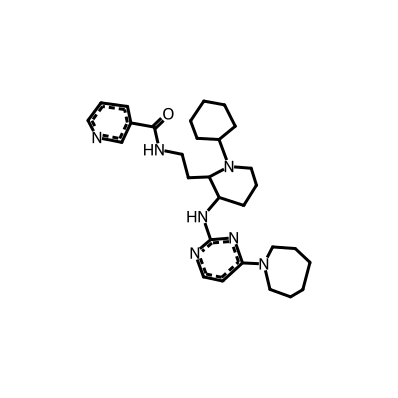 O=C(NCCC1C(Nc2nccc(N3CCCCCC3)n2)CCCN1C1CCCCC1)c1cccnc1